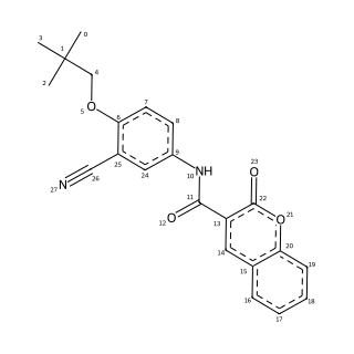 CC(C)(C)COc1ccc(NC(=O)c2cc3ccccc3oc2=O)cc1C#N